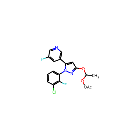 CC(=O)OOC(C)Oc1cc(-c2cncc(F)c2)n(-c2cccc(Cl)c2F)n1